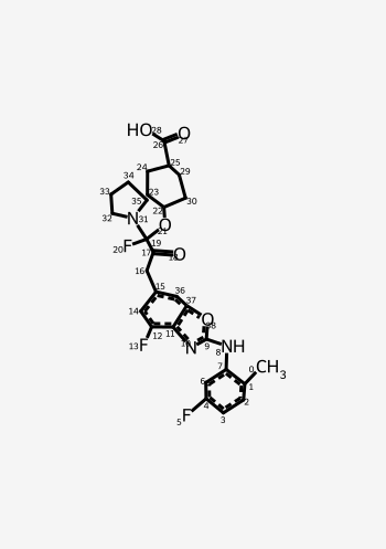 Cc1ccc(F)cc1Nc1nc2c(F)cc(CC(=O)C(F)(OC3CCC(C(=O)O)CC3)N3CCCC3)cc2o1